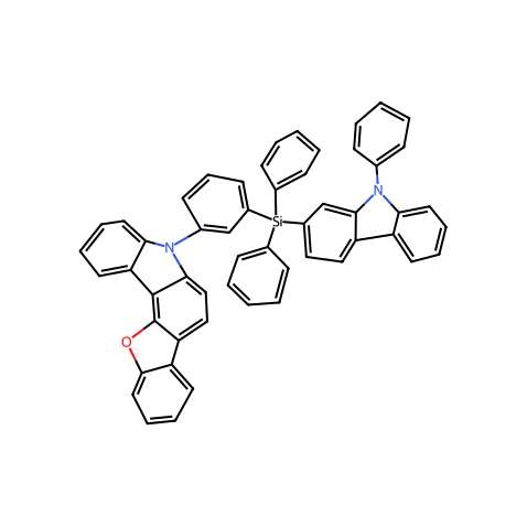 c1ccc(-n2c3ccccc3c3ccc([Si](c4ccccc4)(c4ccccc4)c4cccc(-n5c6ccccc6c6c7oc8ccccc8c7ccc65)c4)cc32)cc1